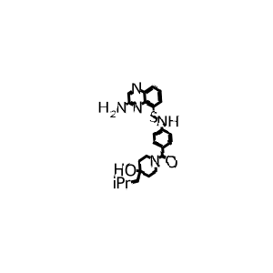 CC(C)CC1(O)CCN(C(=O)c2ccc(NSc3cccc4ncc(N)nc34)cc2)CC1